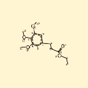 CCOC(=O)CCc1cc(OC)c(OC)c(OC)c1